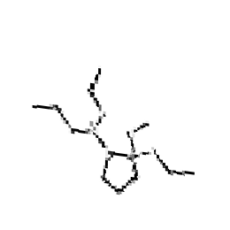 CCO[SiH](OCC)N1CCC[Si]1(OC)OCC